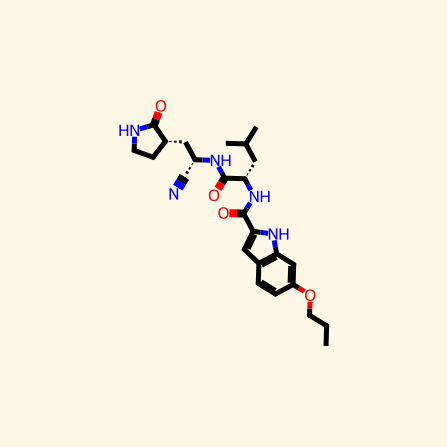 CCCOc1ccc2cc(C(=O)N[C@@H](CC(C)C)C(=O)N[C@H](C#N)C[C@@H]3CCNC3=O)[nH]c2c1